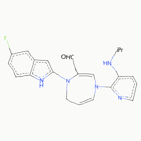 CC(C)Nc1cccnc1N1C=CCN(c2cc3cc(F)ccc3[nH]2)C(C=O)=C1